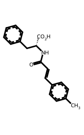 Cc1ccc(C=CC(=O)N[C@H](Cc2ccccc2)C(=O)O)cc1